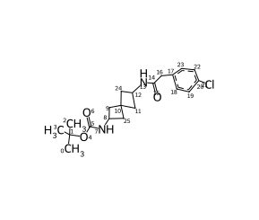 CC(C)(C)OC(=O)NC1CC2(CC(NC(=O)Cc3ccc(Cl)cc3)C2)C1